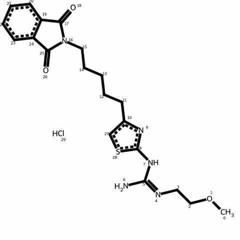 COCC/N=C(/N)Nc1nc(CCCCCN2C(=O)c3ccccc3C2=O)cs1.Cl